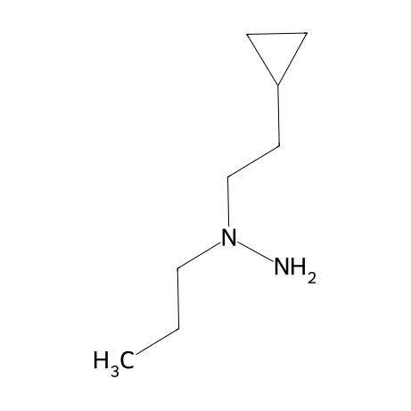 CCCN(N)CCC1CC1